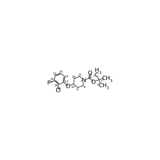 CC(C)(C)OC(=O)N1CCC(Oc2cccc(F)c2Cl)CC1